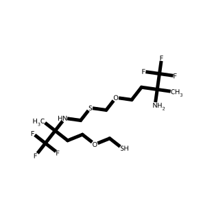 CC(N)(CCOCSCNC(C)(CCOCS)C(F)(F)F)C(F)(F)F